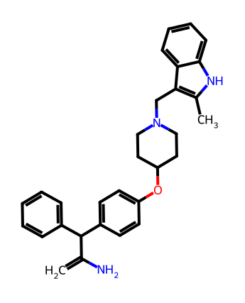 C=C(N)C(c1ccccc1)c1ccc(OC2CCN(Cc3c(C)[nH]c4ccccc34)CC2)cc1